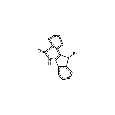 O=c1[nH]c2c(c3ccccc13)C(Br)c1ccccc1-2